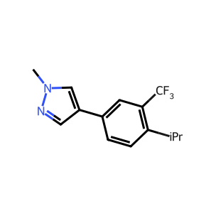 CC(C)c1ccc(-c2cnn(C)c2)cc1C(F)(F)F